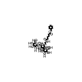 O=C(CCCCC(=O)OCc1ccccc1)NCC[C@H]1O[C@H](C(O)O[C@H]2O[C@H](CO)[C@@H](O)[C@H](O)[C@@H]2O)[C@@H](O)[C@@](O)([C@H]2O[C@H](CO)[C@@H](O)[C@H](O)[C@@H]2O)[C@@H]1O